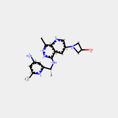 Cc1nnc(N[C@H](C)c2cc(N)cc(C(F)(F)F)n2)c2cc(N3CC(O)C3)cnc12